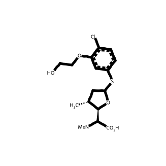 CNC(C(=O)O)[C@@H]1OC(Sc2ccc(Cl)c(OCCO)c2)C[C@H]1C